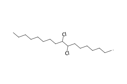 [CH2]CCCCCCC(Cl)C(Cl)CCCCCCCC